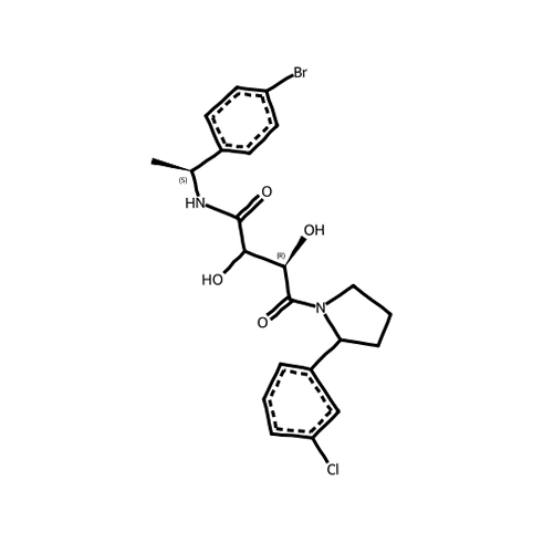 C[C@H](NC(=O)C(O)[C@@H](O)C(=O)N1CCCC1c1cccc(Cl)c1)c1ccc(Br)cc1